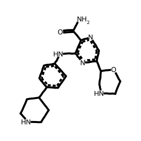 NC(=O)c1ncc(C2CNCCO2)nc1Nc1ccc(C2CCNCC2)cc1